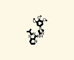 COc1cc(-n2cnc(Nc3nc(C(C)C)nc4cccnc34)c2)cc(OC)c1OC